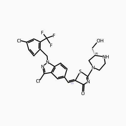 O=C1N=C(N2CCN[C@@H](CO)C2)S/C1=C\c1ccc2c(c1)c(Cl)nn2Cc1ccc(Cl)cc1C(F)(F)F